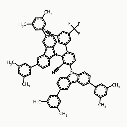 Cc1cc(C)cc(-c2ccc3c(c2)c2cc(-c4cc(C)cc(C)c4)ccc2n3-c2ccc(-c3cc(C#N)cc(C(F)(F)F)c3)c(-n3c4ccc(-c5cc(C)cc(C)c5)cc4c4cc(-c5cc(C)cc(C)c5)ccc43)c2C#N)c1